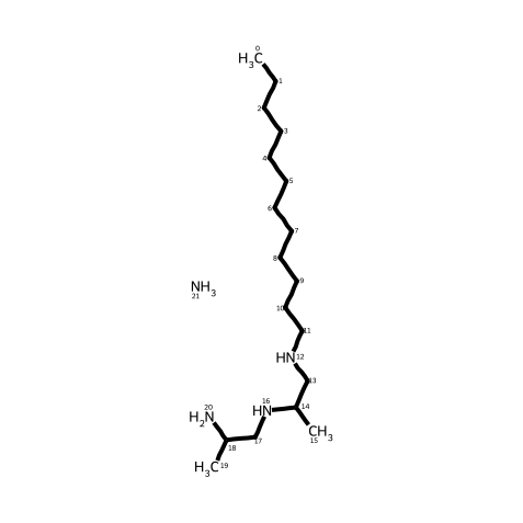 CCCCCCCCCCCCNCC(C)NCC(C)N.N